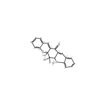 CC(C)C1(C)[C@@H]2Oc3ccccc3C=C2C(=O)C2=Cc3ccccc3O[C@H]21